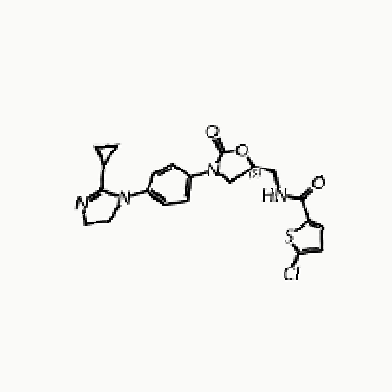 O=C(NC[C@H]1CN(c2ccc(N3CCN=C3C3CC3)cc2)C(=O)O1)c1ccc(Cl)s1